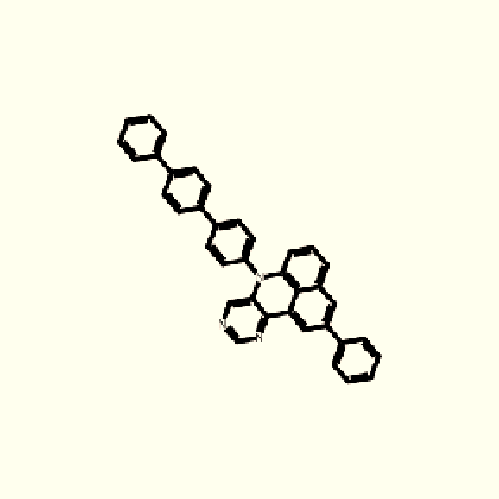 c1ccc(-c2ccc(-c3ccc(N4c5cncnc5-c5cc(-c6ccccc6)cc6cccc4c56)cc3)cc2)cc1